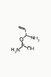 C=CC(N)OP(N)O